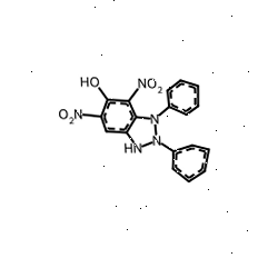 O=[N+]([O-])c1cc2c(c([N+](=O)[O-])c1O)N(c1ccccc1)N(c1ccccc1)N2